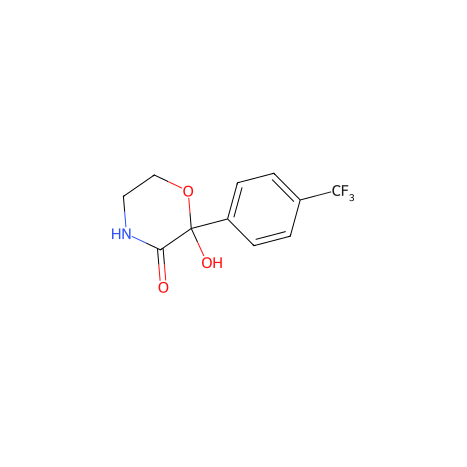 O=C1NCCOC1(O)c1ccc(C(F)(F)F)cc1